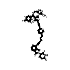 Cc1c(C#Cc2ccc(CCCC#Cc3cccc4c3CN(C3CCC(=O)NC3=O)C4=O)cn2)sc2c1C(c1ccc(Cl)cc1)=NCc1nnc(C)n1-2